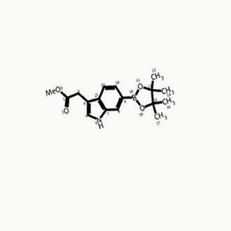 COC(=O)Cc1c[nH]c2cc(B3OC(C)(C)C(C)(C)O3)ccc12